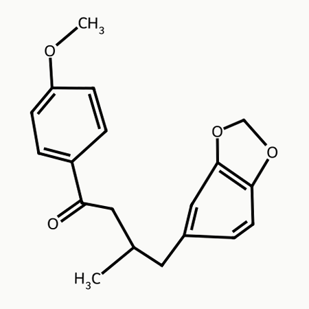 COc1ccc(C(=O)CC(C)Cc2ccc3c(c2)OCO3)cc1